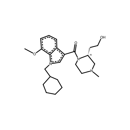 COc1cccc2c(C(=O)N3CCN(C)C[C@H]3CCO)cn(CC3CCCCC3)c12